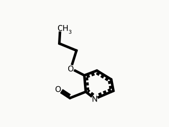 CCCOc1cccnc1C=O